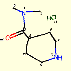 CN(C)C(=O)C1CCNCC1.Cl